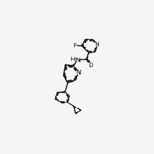 O=C(Nc1ccc(-c2cccc(C3CC3)c2)cn1)c1cnccc1F